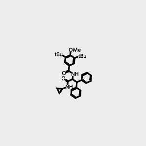 COc1c(C(C)(C)C)cc(C(=O)NC(C(=O)NC2CC2)C(c2ccccc2)c2ccccc2)cc1C(C)(C)C